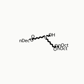 CCCCCCCCCCCOC(=O)CCCCCCN(CCO)CCCCCCCC(=O)OC(CCCCCCCC)CCCCCCCC